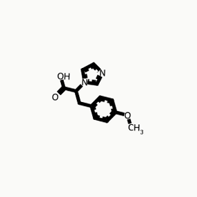 COc1ccc(CC(C(=O)O)n2ccnc2)cc1